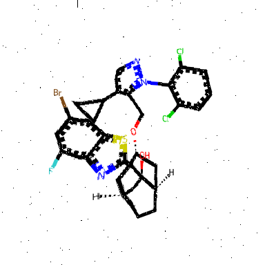 O[C@@]1(c2nc3c(F)cc(Br)cc3s2)[C@@H]2CC[C@H]1C[C@H](OCc1c(C3CC3)cnn1-c1c(Cl)cccc1Cl)C2